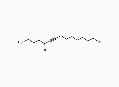 CCCCC(O)C#CCCCCCCCBr